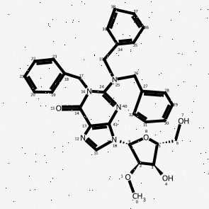 CO[C@@H]1[C@H](O)[C@@H](CO)O[C@H]1n1cnc2c(=O)n(Cc3ccccc3)c(N(Cc3ccccc3)Cc3ccccc3)nc21